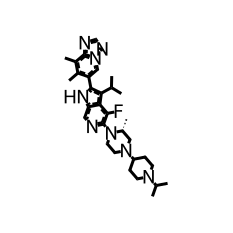 Cc1c(-c2[nH]c3cnc(N4CCN(C5CCN(C(C)C)CC5)C[C@H]4C)c(F)c3c2C(C)C)cn2ncnc2c1C